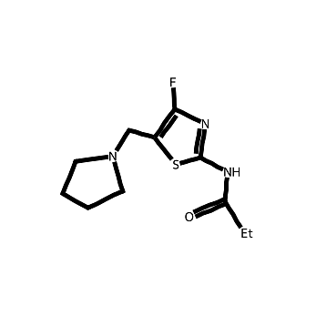 CCC(=O)Nc1nc(F)c(CN2CCCC2)s1